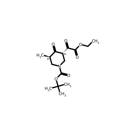 CCOC(=O)C(=O)[C@@H]1CN(C(=O)OC(C)(C)C)C[C@@H](C)C1=O